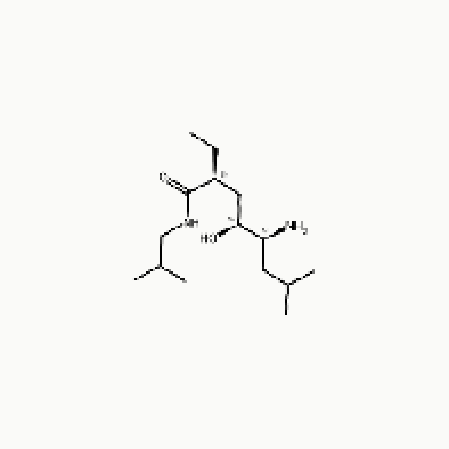 CC[C@@H](C[C@H](O)[C@@H](N)CC(C)C)C(=O)NCC(C)C